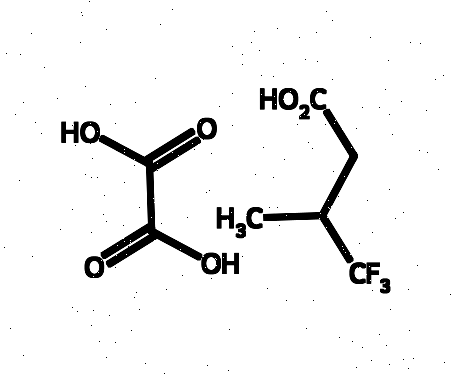 CC(CC(=O)O)C(F)(F)F.O=C(O)C(=O)O